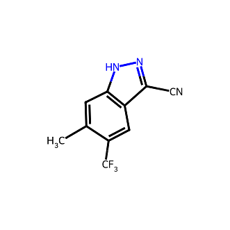 Cc1cc2[nH]nc(C#N)c2cc1C(F)(F)F